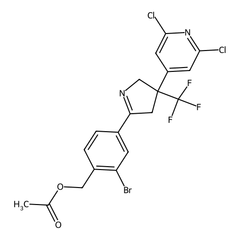 CC(=O)OCc1ccc(C2=NCC(c3cc(Cl)nc(Cl)c3)(C(F)(F)F)C2)cc1Br